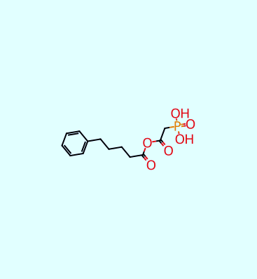 O=C(CCCCc1ccccc1)OC(=O)CP(=O)(O)O